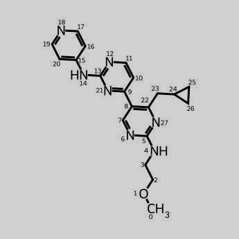 COCCNc1ncc(-c2ccnc(Nc3ccncc3)n2)c(CC2CC2)n1